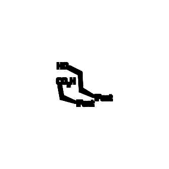 CCC[C@H](C)CC(=O)O.CCC[C@H](C)CCO